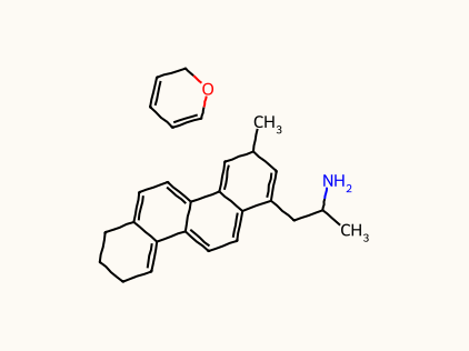 C1=CCOC=C1.CC1C=C(CC(C)N)c2ccc3c4c(ccc3c2=C1)CCCC=4